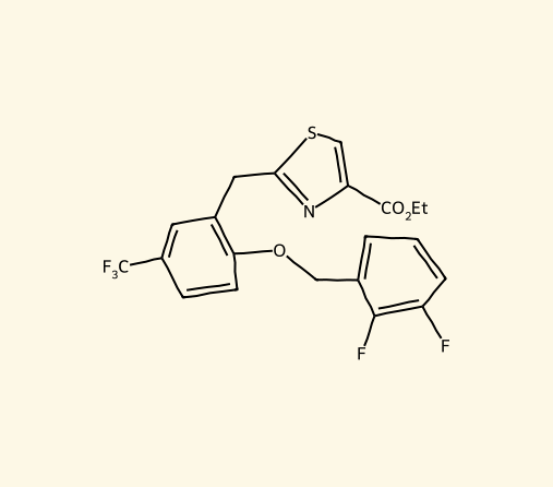 CCOC(=O)c1csc(Cc2cc(C(F)(F)F)ccc2OCc2cccc(F)c2F)n1